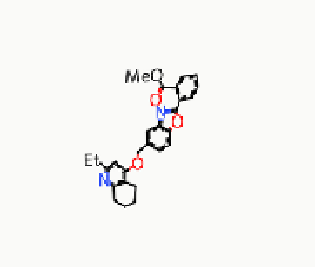 CCc1cc(OCc2ccc3oc(-c4ccccc4C(=O)OC)nc3c2)c2c(n1)CCCC2